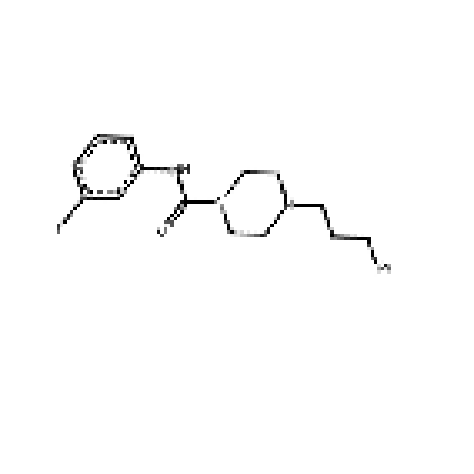 CC(C)CCCN1CCN(C(=O)Nc2cccc(F)c2)CC1